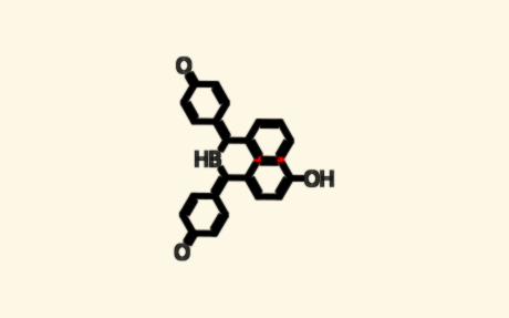 O=C1C=CC(=C(BC(=C2C=CC(=O)C=C2)c2ccc(O)cc2)c2ccccc2)C=C1